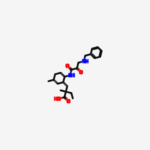 CCC(C)(CC1CC(C)CCC1NC(=O)C(=O)CNCc1ccccc1)C(=O)O